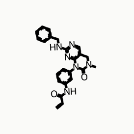 C=CC(=O)Nc1cccc(N2C(=O)N(C)Cc3cnc(NCc4ccccc4)nc32)c1